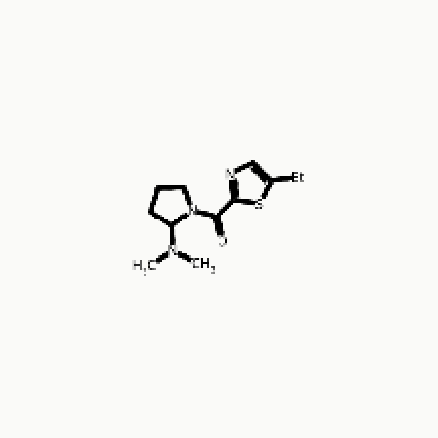 CCc1cnc(C(=O)N2CCCC2N(C)C)s1